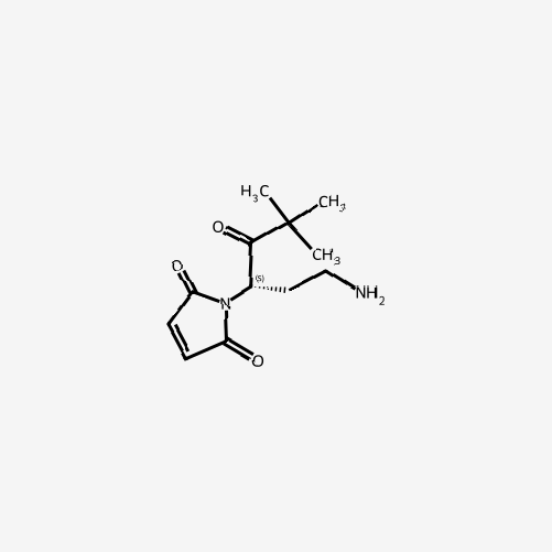 CC(C)(C)C(=O)[C@H](CCN)N1C(=O)C=CC1=O